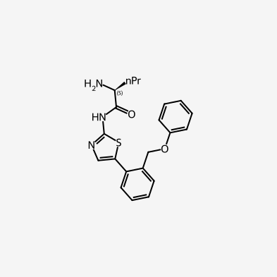 CCC[C@H](N)C(=O)Nc1ncc(-c2ccccc2COc2ccccc2)s1